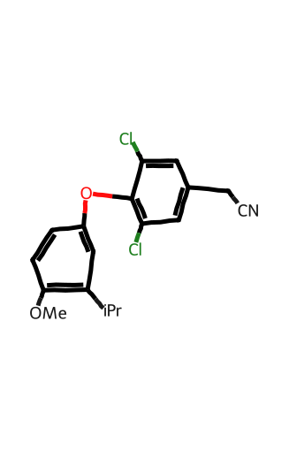 COc1ccc(Oc2c(Cl)cc(CC#N)cc2Cl)cc1C(C)C